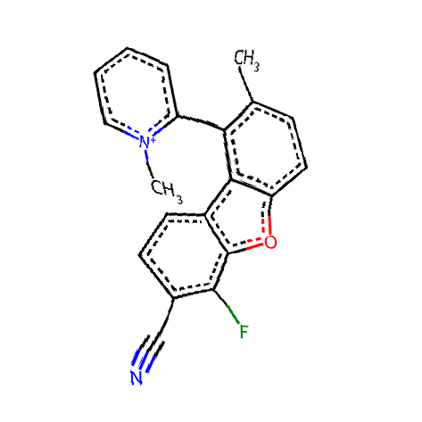 Cc1ccc2oc3c(F)c(C#N)ccc3c2c1-c1cccc[n+]1C